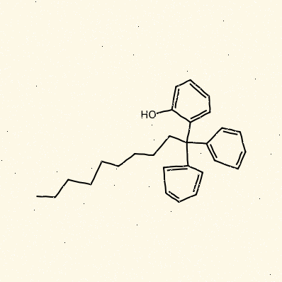 CCCCCCCCCC(c1ccccc1)(c1ccccc1)c1ccccc1O